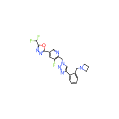 Fc1cc(-c2nnc(C(F)F)o2)cnc1Cn1cc(-c2ccccc2CN2CCC2)nn1